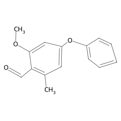 COc1cc(Oc2ccccc2)cc(C)c1C=O